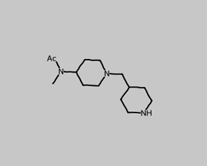 CC(=O)N(C)C1CCN(CC2CCNCC2)CC1